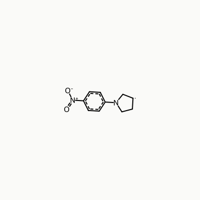 O=[N+]([O-])c1ccc(N2C[CH]CC2)cc1